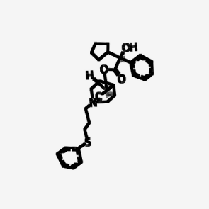 O=C(O[C@H]1C[N+]2(CCCSc3ccccc3)CCC1CC2)[C@@](O)(c1ccccc1)C1CCCC1